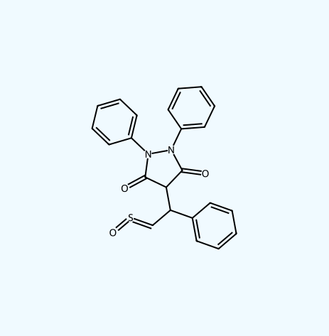 O=S=CC(c1ccccc1)C1C(=O)N(c2ccccc2)N(c2ccccc2)C1=O